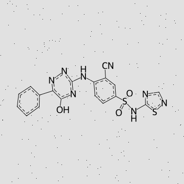 N#Cc1cc(S(=O)(=O)Nc2ncns2)ccc1Nc1nnc(-c2ccccc2)c(O)n1